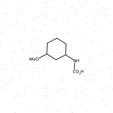 COC1CCCC(NC(=O)O)C1